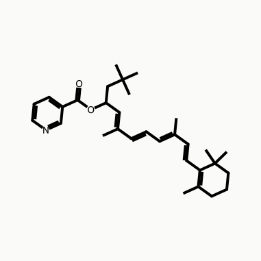 CC(C=CC1=C(C)CCCC1(C)C)=CC=CC(C)=CC(CC(C)(C)C)OC(=O)c1cccnc1